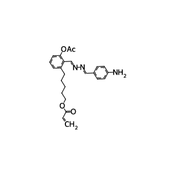 C=CC(=O)OCCCCCc1cccc(OC(C)=O)c1/C=N/N=C/c1ccc(N)cc1